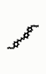 CCCCCCCc1cnc(-c2ccc(OC/C=C/C3CCC(CCCCC)CC3)cc2)nc1